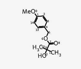 COc1ccc(COC(=O)C(C)(C)O)cc1